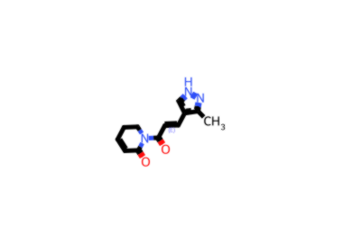 Cc1n[nH]cc1/C=C/C(=O)N1CCC=CC1=O